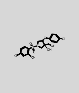 N#Cc1cc(Cl)ccc1S(=O)(=O)N1CC(Oc2ccc(Cl)cc2)[C@](O)(CO)C1